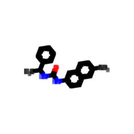 CC(NC(=O)Nc1ccc2cc([N+](=O)[O-])ccc2c1)c1ccccc1